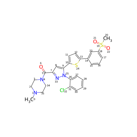 CN1CCN(C(=O)c2cc(-c3ccc(-c4cccc(S(C)(=O)=O)c4)s3)n(-c3ccccc3Cl)n2)CC1